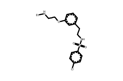 CCNCCOc1cccc(CCNS(=O)(=O)c2ccc(Cl)cc2)c1